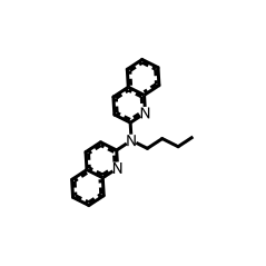 CCCCN(c1ccc2ccccc2n1)c1ccc2ccccc2n1